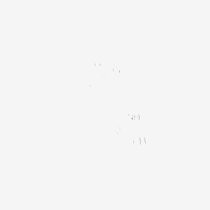 CC(=O)Nc1ccc(S(=O)(=O)Oc2ccccc2)cc1